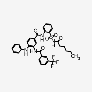 CCCCCC(=O)NS(=O)(=O)c1ccccc1NC(=O)c1ccc(Nc2ccccc2)c(NC(=O)c2cccc(C(F)(F)F)c2)c1